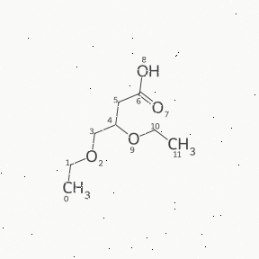 CCOCC(CC(=O)O)OCC